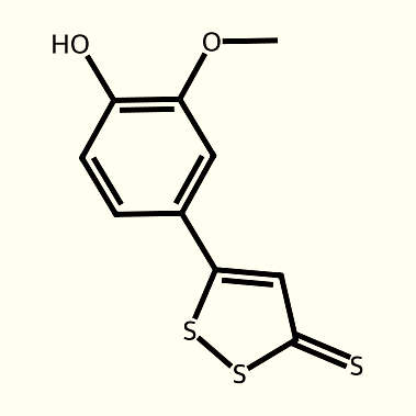 COc1cc(-c2cc(=S)ss2)ccc1O